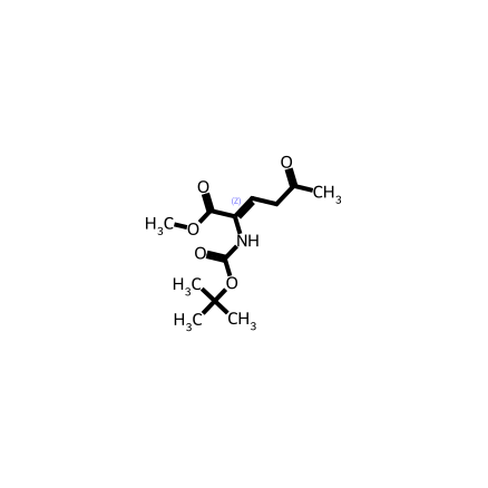 COC(=O)/C(=C/CC(C)=O)NC(=O)OC(C)(C)C